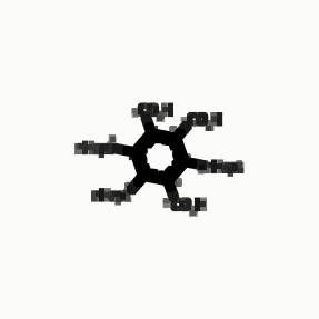 CCCCCCCc1c(CCCCCCC)c(C(=O)O)c(C(=O)O)c(CCCCCCC)c1C(=O)O